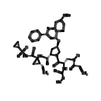 C=CC(=O)N(CC)C[C@H](NC(=O)OC(C)(C)C)C(=O)N1C[C@H](Oc2cc(-c3ccccc3)nc3cc(OC)ccc23)C[C@H]1C(=O)N[C@]1(C(=O)NS(=O)(=O)C2CC2)C[C@H]1C=C